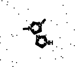 Cn1cc[n+](C)c1.c1c[nH]cn1